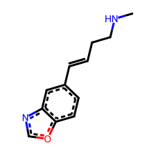 CNCCC=Cc1ccc2ocnc2c1